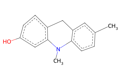 Cc1ccc2c(c1)Cc1ccc(O)cc1N2C